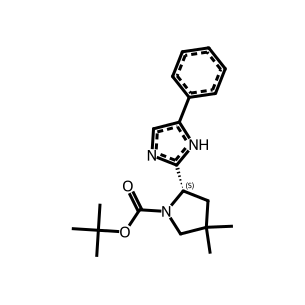 CC1(C)C[C@@H](c2ncc(-c3ccccc3)[nH]2)N(C(=O)OC(C)(C)C)C1